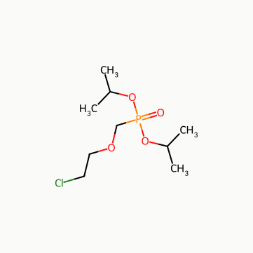 CC(C)OP(=O)(COCCCl)OC(C)C